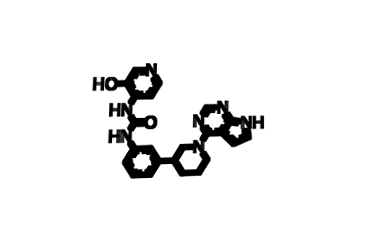 O=C(Nc1cccc(C2CCCN(c3ncnc4[nH]ccc34)C2)c1)Nc1ccncc1O